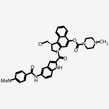 CNc1ccc(C(=O)Nc2ccc3[nH]c(C(=O)N4C[C@@H](CCl)c5c4cc(OC(=O)N4CCN(C)CC4)c4ccccc54)cc3c2)cc1